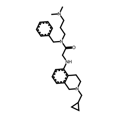 CN(C)CCCN(Cc1ccccc1)C(=O)CNc1cccc2c1CCN(CC1CC1)C2